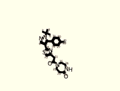 CC(C)(C)n1ncc(-c2nc(CC(=O)N3CCNC(=O)CC3)cs2)c1-c1ccc(F)cc1